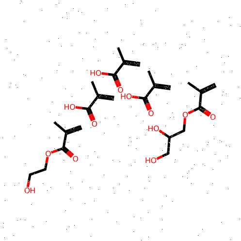 C=C(C)C(=O)O.C=C(C)C(=O)O.C=C(C)C(=O)O.C=C(C)C(=O)OCC(O)CO.C=C(C)C(=O)OCCO